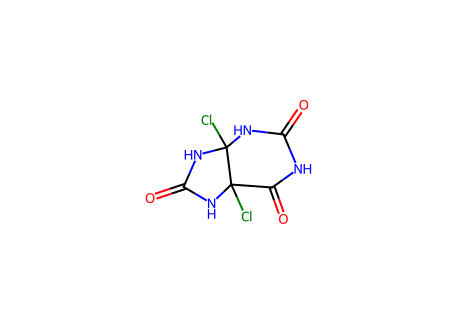 O=C1NC(=O)C2(Cl)NC(=O)NC2(Cl)N1